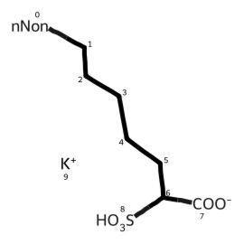 CCCCCCCCCCCCCCC(C(=O)[O-])S(=O)(=O)O.[K+]